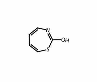 OC1=NC=CC=CS1